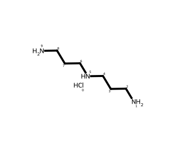 Cl.NCCCNCCCN